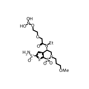 CCN(C(=O)COCCON(O)O)[C@H]1CN(CCCOC)S(=O)(=O)c2sc([S+](N)[O-])cc21